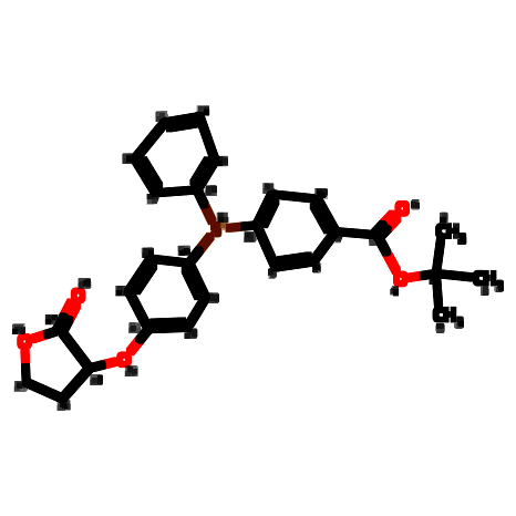 CC(C)(C)OC(=O)c1ccc([S+](c2ccccc2)c2ccc(OC3CCOC3=O)cc2)cc1